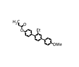 C=CC(=O)Oc1ccc(-c2ccc(-c3ccc(OC)cc3)cc2CC)cc1